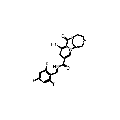 O=C(NCc1c(F)cc(F)cc1F)C1=CN2C(=C(O)C1)C(=O)N1CCOCC2C1